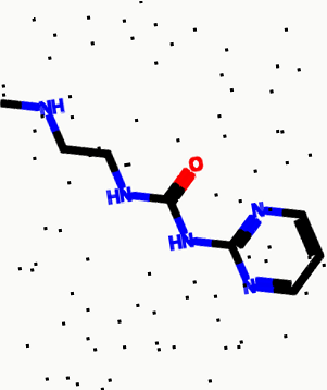 CNCCNC(=O)Nc1ncccn1